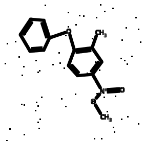 CO[N+](=O)c1ccc(Oc2ccccc2)c(C)c1